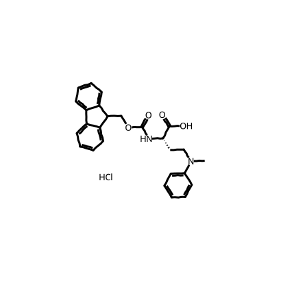 CN(CC[C@H](NC(=O)OCC1c2ccccc2-c2ccccc21)C(=O)O)c1ccccc1.Cl